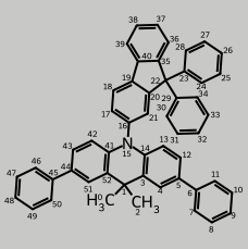 CC1(C)c2cc(-c3ccccc3)ccc2N(c2ccc3c(c2)C(c2ccccc2)(c2ccccc2)c2ccccc2-3)c2ccc(-c3ccccc3)cc21